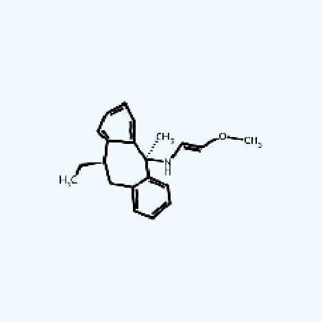 CC[C@@H]1Cc2ccccc2[C@](C)(N/C=C/OC)c2ccccc21